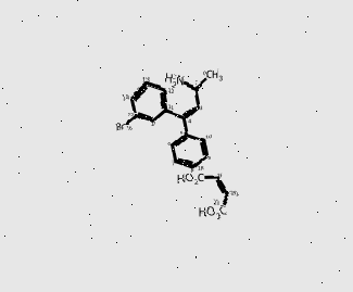 CC(N)/C=C(/c1ccccc1)c1cccc(Br)c1.O=C(O)/C=C\C(=O)O